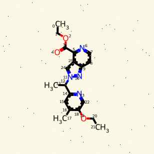 CCOC(=O)c1nccc2nn(C(C)c3cc(C)c(OCC)cn3)cc12